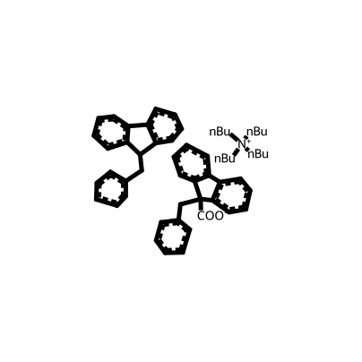 CCCC[N+](CCCC)(CCCC)CCCC.O=C([O-])C1(Cc2ccccc2)c2ccccc2-c2ccccc21.c1ccc(CC2c3ccccc3-c3ccccc32)cc1